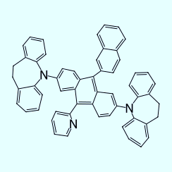 c1ccc(-c2c3ccc(N4c5ccccc5CCc5ccccc54)cc3c(-c3ccc4ccccc4c3)c3ccc(N4c5ccccc5CCc5ccccc54)cc23)nc1